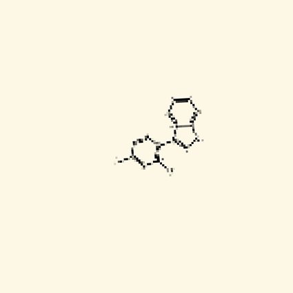 Clc1ccc(-c2csc3ccccc23)c(Br)c1